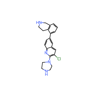 Clc1cc2cc(-c3cccc4c3CCNC4)ccc2nc1N1CCNCC1